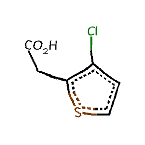 O=C(O)Cc1sccc1Cl